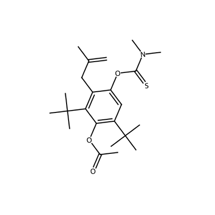 C=C(C)Cc1c(OC(=S)N(C)C)cc(C(C)(C)C)c(OC(C)=O)c1C(C)(C)C